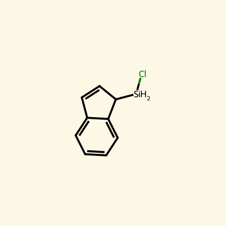 Cl[SiH2]C1C=Cc2ccccc21